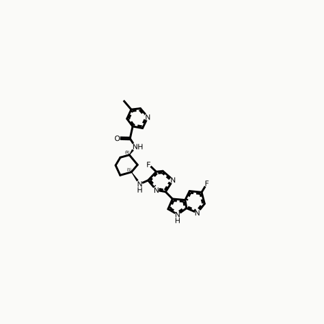 Cc1cncc(C(=O)N[C@@H]2CCC[C@H](Nc3nc(-c4c[nH]c5ncc(F)cc45)ncc3F)C2)c1